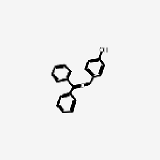 Oc1ccc(C=C=C(c2ccccc2)c2ccccc2)cc1